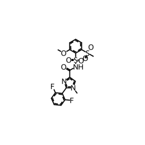 COc1cccc(S(C)(=O)=O)c1S(=O)(=O)NC(=O)c1cn(C)c(-c2c(F)cccc2F)n1